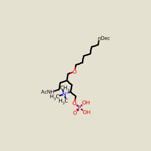 CCCCCCCCCCCCCCCCOCC(CCNC(C)=O)CC(COP(=O)(O)O)[N+](C)(C)C